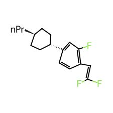 CCC[C@H]1CC[C@H](c2ccc(C=C(F)F)c(F)c2)CC1